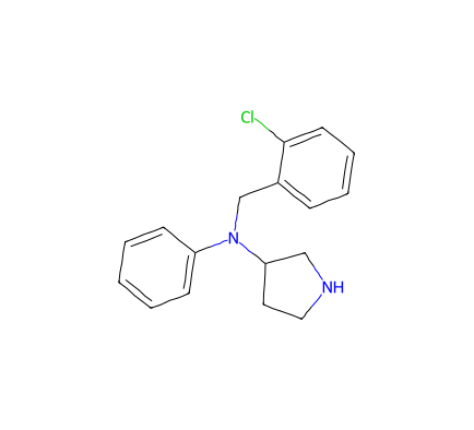 Clc1ccccc1CN(c1ccccc1)C1CCNC1